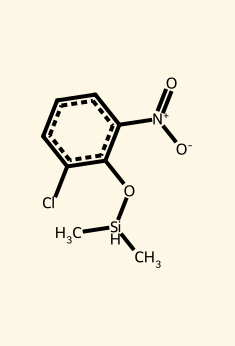 C[SiH](C)Oc1c(Cl)cccc1[N+](=O)[O-]